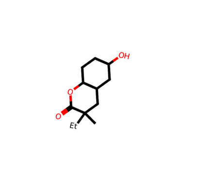 CCC1(C)CC2CC(O)CCC2OC1=O